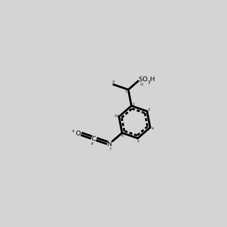 CC(c1cccc(N=C=O)c1)S(=O)(=O)O